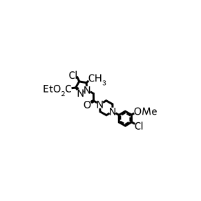 CCOC(=O)C1=NN(CC(=O)N2CCN(c3ccc(Cl)c(OC)c3)CC2)C(C)C1Cl